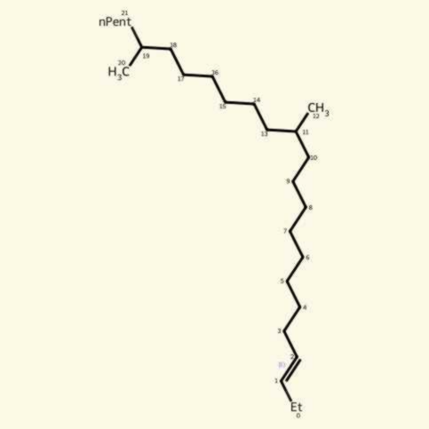 [CH2]C/C=C/CCCCCCCCC(C)CCCCCCC(C)CCCC[CH2]